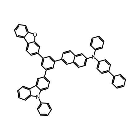 c1ccc(-c2ccc(N(c3ccccc3)c3ccc4cc(-c5cc(-c6ccc7c(c6)oc6ccccc67)cc(-c6ccc7c(c6)c6ccccc6n7-c6ccccc6)c5)ccc4c3)cc2)cc1